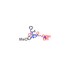 COc1ccc(N2CCN(C(=O)CCCON(O)O)C[C@@H]2C(=O)N(Cc2ccccc2)C2CC2)cc1